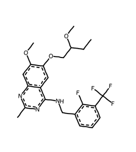 CCC(COc1cc2c(NCc3cccc(C(F)(F)F)c3F)nc(C)nc2cc1OC)OC